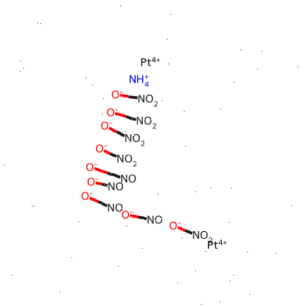 O=N[O-].O=N[O-].O=N[O-].O=N[O-].O=[N+]([O-])[O-].O=[N+]([O-])[O-].O=[N+]([O-])[O-].O=[N+]([O-])[O-].O=[N+]([O-])[O-].[NH4+].[Pt+4].[Pt+4]